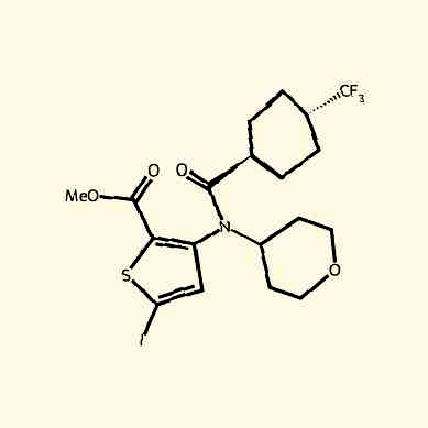 COC(=O)c1sc(I)cc1N(C(=O)[C@H]1CC[C@H](C(F)(F)F)CC1)C1CCOCC1